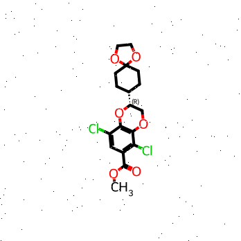 COC(=O)c1cc(Cl)c2c(c1Cl)OC[C@@H](C1CCC3(CC1)OCCO3)O2